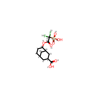 O=C(O)C1CC2CCC(OC(=O)C(F)(F)S(=O)(=O)O)C(C2)C1